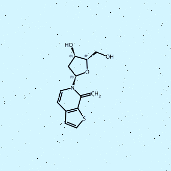 C=C1c2sccc2C=CN1[C@H]1C[C@@H](O)[C@@H](CO)O1